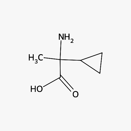 CC(N)(C(=O)O)C1CC1